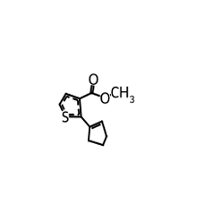 COC(=O)c1ccsc1C1=CCCC1